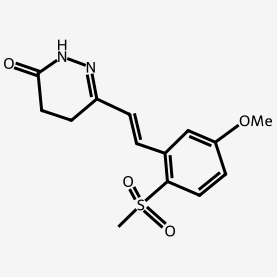 COc1ccc(S(C)(=O)=O)c(C=CC2=NNC(=O)CC2)c1